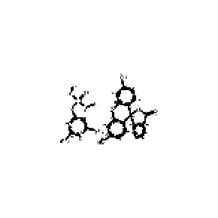 CCOP(=S)(OCC)Oc1cc(C)nc(C(C)C)n1.O=C1OC2(c3ccc(O)cc3Oc3cc(O)ccc32)c2ccccc21